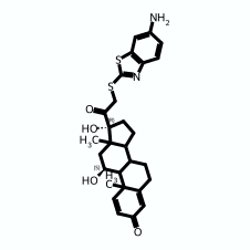 CC12C=CC(=O)C=C1CCC1C2[C@@H](O)CC2(C)C1CC[C@]2(O)C(=O)CSc1nc2ccc(N)cc2s1